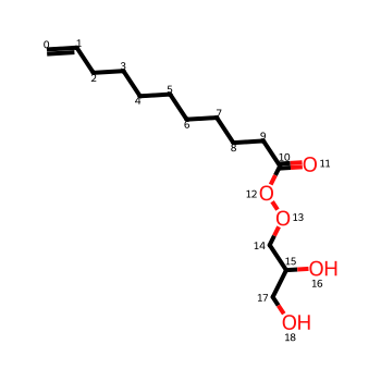 C=CCCCCCCCCC(=O)OOCC(O)CO